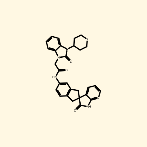 O=C(Cn1c(=O)n(C2CCSCC2)c2ccccc21)Nc1ccc2c(c1)CC1(C2)C(=O)Nc2ncccc21